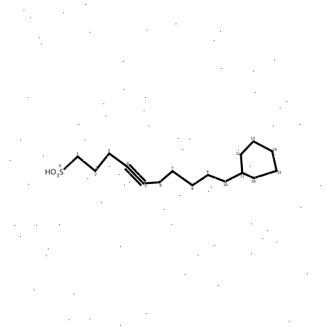 O=S(=O)(O)CCCC#CCCCCCC1CCCCC1